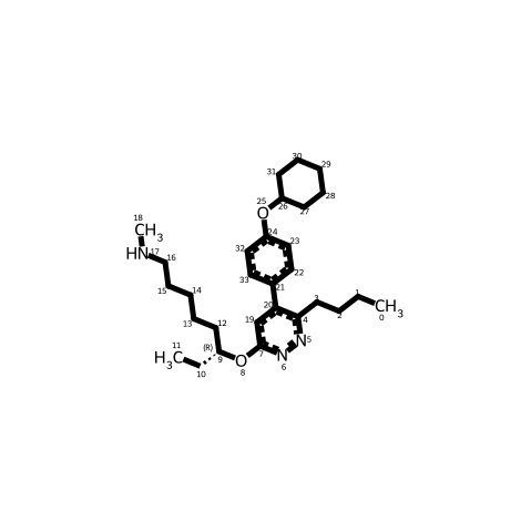 CCCCc1nnc(O[C@H](CC)CCCCCNC)cc1-c1ccc(OC2CCCCC2)cc1